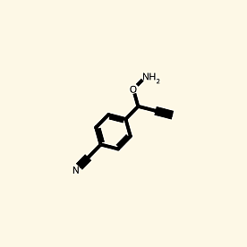 C#CC(ON)c1ccc(C#N)cc1